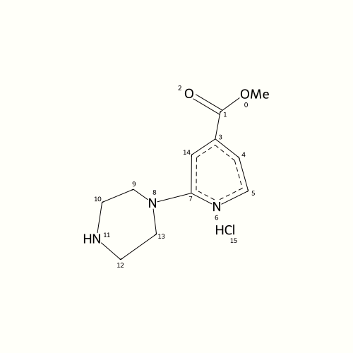 COC(=O)c1ccnc(N2CCNCC2)c1.Cl